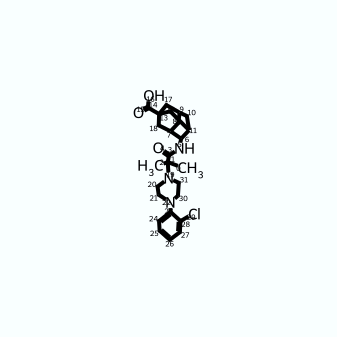 CC(C)(C(=O)NC1C2CC3CC1CC(C(=O)O)(C3)C2)N1CCN(c2ccccc2Cl)CC1